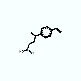 C=Cc1ccc(C(C)COB(O)O)cc1